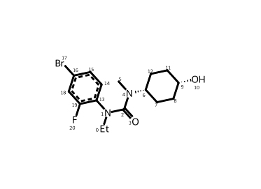 CCN(C(=O)N(C)[C@H]1CC[C@@H](O)CC1)c1ccc(Br)cc1F